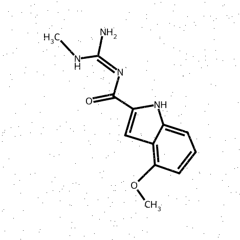 CNC(N)=NC(=O)c1cc2c(OC)cccc2[nH]1